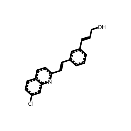 OCC=Cc1cccc(/C=C/c2ccc3ccc(Cl)cc3n2)c1